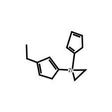 CCC1=CC[C]([Zr]2([C]3=CC=CC3)[CH2][CH2]2)=C1